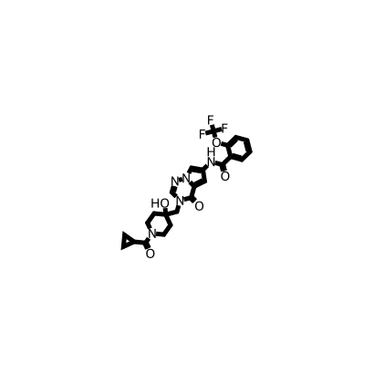 O=C(Nc1cc2c(=O)n(CC3(O)CCN(C(=O)C4CC4)CC3)cnn2c1)c1ccccc1OC(F)(F)F